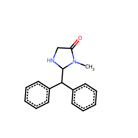 CN1C(=O)CNC1C(c1ccccc1)c1ccccc1